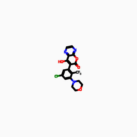 O=c1oc2nccnc2c(O)c1-c1cc(Cl)cc(N2CCOCC2)c1C(F)(F)F